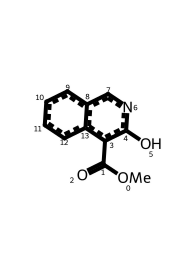 COC(=O)c1c(O)ncc2ccccc12